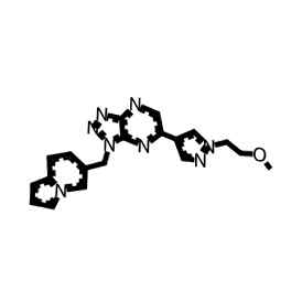 COCCn1cc(-c2cnc3nnn(Cc4ccc5cccn5c4)c3n2)cn1